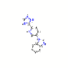 [c]1ccc2c(c1)ncn2-c1ccc(-c2ncn[nH]2)nc1